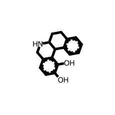 Oc1ccc2c(c1O)C1c3ccccc3CCC1NC2